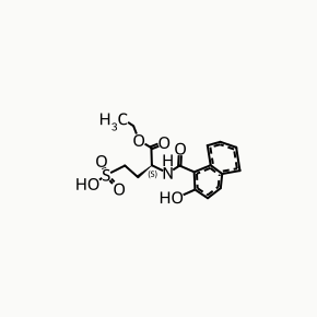 CCOC(=O)[C@H](CCS(=O)(=O)O)NC(=O)c1c(O)ccc2ccccc12